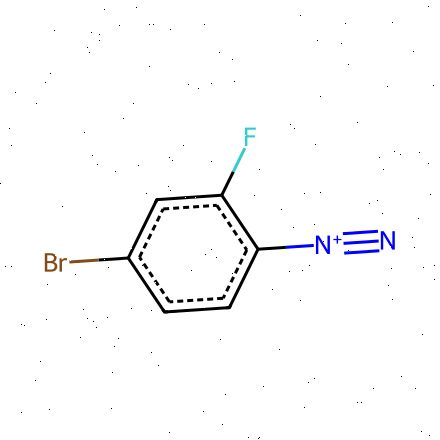 N#[N+]c1ccc(Br)cc1F